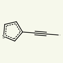 [CH2]C#Cc1ccsc1